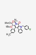 COC(=O)C(OC(C)(C)C)c1c(-c2ccc(C)cc2)c2c3ccccc3n(Cc3ccc(F)cc3)c2c(=O)n1C